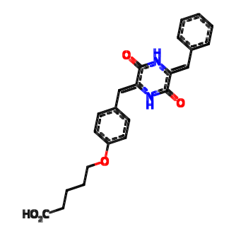 O=C(O)CCCCOc1ccc(C=c2[nH]c(=O)c(=Cc3ccccc3)[nH]c2=O)cc1